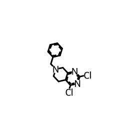 Clc1nc(Cl)c2c(n1)CN(Cc1ccccc1)CC2